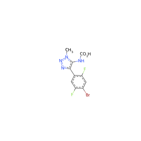 Cn1nnc(-c2cc(F)c(Br)cc2F)c1NC(=O)O